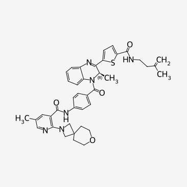 C=C(C)CCNC(=O)c1ccc(C2=Nc3ccccc3N(C(=O)c3ccc(NC(=O)c4cc(C)cnc4N4CC5(CCOCC5)C4)cc3)[C@@H]2C)s1